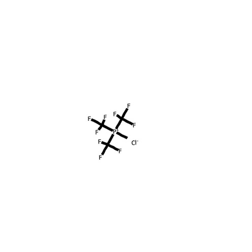 C[P+](C(F)(F)F)(C(F)(F)F)C(F)(F)F.[Cl-]